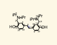 CC(C)N(Cc1cc(/C=C/c2ccc(O)c(CN(C(C)C)C(C)C)c2)ccc1O)C(C)C